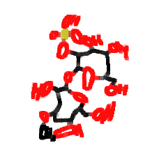 COC1C(O)C(CO)OC(OC2OC(CO)C(O)C(O)C2OS(=O)(=O)O)C1O